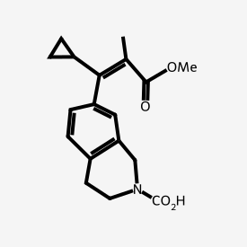 COC(=O)C(C)=C(c1ccc2c(c1)CN(C(=O)O)CC2)C1CC1